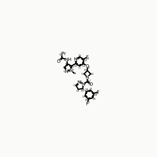 CC(C)C(=O)Nc1cnn(C)c1-c1cc(OC2CN(C(=O)N3N=CC[C@H]3c3cc(F)cc(F)c3)C2)c(F)cn1